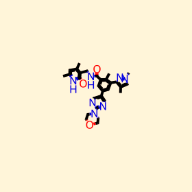 Cc1cc(C)c(CNC(=O)c2cc(-c3cnc(N4CCOCC4)nc3)cc(-c3nn(C)cc3C)c2C)c(=O)[nH]1